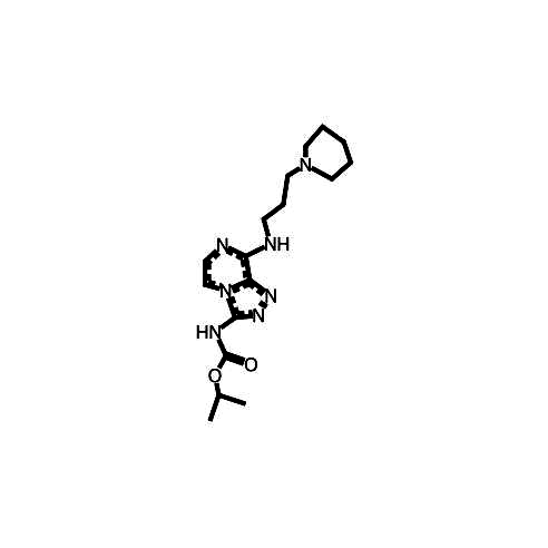 CC(C)OC(=O)Nc1nnc2c(NCCCN3CCCCC3)nccn12